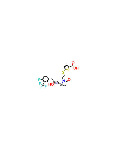 O=C(O)c1ccc(SCCN2C(=O)CC[C@@H]2/C=C/[C@@H](O)Cc2ccc(F)c(C(F)(F)F)c2)s1